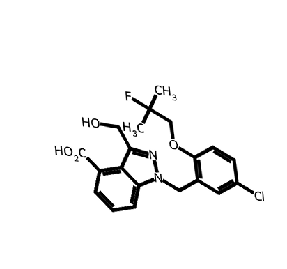 CC(C)(F)COc1ccc(Cl)cc1Cn1nc(CO)c2c(C(=O)O)cccc21